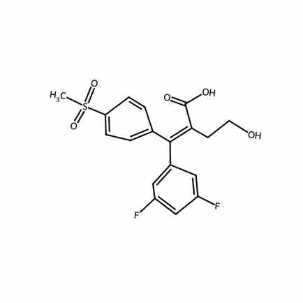 CS(=O)(=O)c1ccc(C(=C(CCO)C(=O)O)c2cc(F)cc(F)c2)cc1